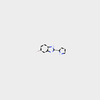 Brc1ccc2[nH]c(-c3ccc[nH]3)nc2c1